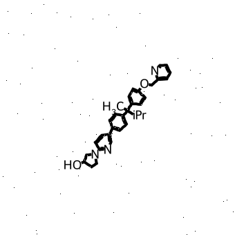 CC(C)C(C)(c1ccc(OCc2ccccn2)cc1)c1ccc(-c2ccc(N3CCC(O)C3)nc2)cc1